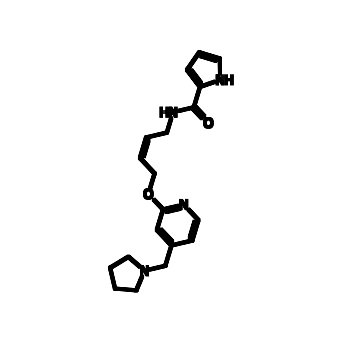 O=C(NC/C=C\COc1cc(CN2CCCC2)ccn1)c1ccc[nH]1